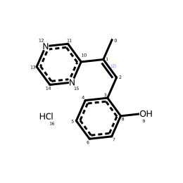 C/C(=C/c1ccccc1O)c1cnccn1.Cl